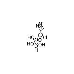 Cn1cnc2cc(-c3ccc(O[C@H]4OC(CO)[C@@H](O)C(O)[C@H]4O)c(Cl)c3)cnc21